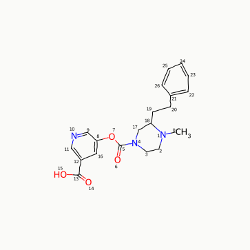 CN1CCN(C(=O)Oc2cncc(C(=O)O)c2)CC1CCc1ccccc1